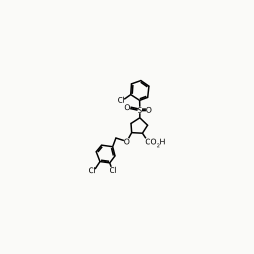 O=C(O)C1CC(S(=O)(=O)c2ccccc2Cl)CC1OCc1ccc(Cl)c(Cl)c1